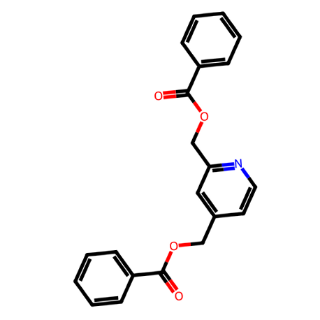 O=C(OCc1ccnc(COC(=O)c2ccccc2)c1)c1ccccc1